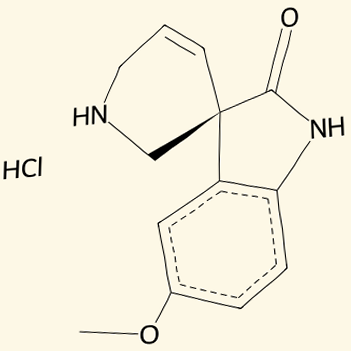 COc1ccc2c(c1)[C@]1(C=CCNC1)C(=O)N2.Cl